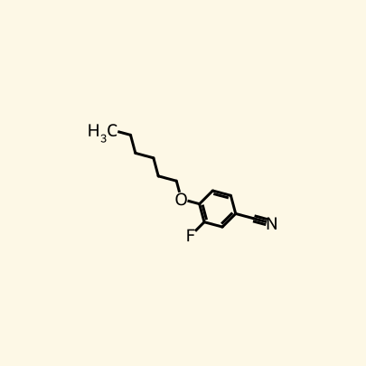 CCCCCCOc1ccc(C#N)cc1F